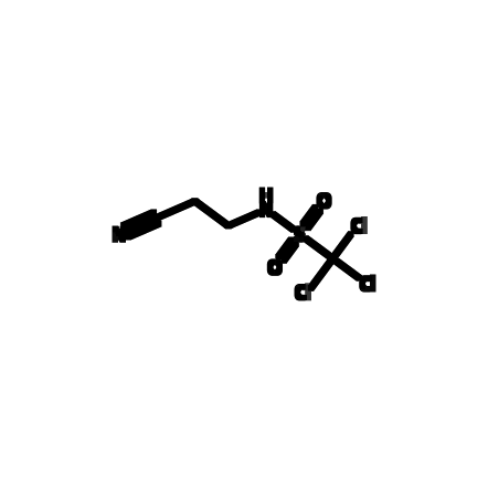 N#CCCNS(=O)(=O)C(Cl)(Cl)Cl